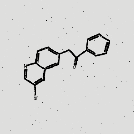 O=C(Cc1ccc2ncc(Br)cc2c1)c1ccccc1